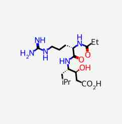 CCC(=O)N[C@@H](CCCNC(=N)N)C(=O)N[C@@H](CC(C)C)[C@@H](O)CC(=O)O